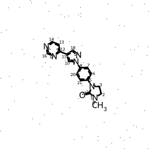 CN1CCN(c2ccc(-n3cc(-c4ccncn4)cn3)cc2)C1=O